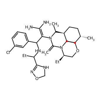 C=C(N(C(=C(N)N)C(NC(CC)C1=NOCN1)c1cccc(Cl)c1)C(C)[C@H]1CC[C@H](C)CC1)N1CCOC[C@H]1CC